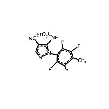 CCOC(=O)Nc1c(C#N)cnn1-c1c(F)c(F)c(C(F)(F)F)c(F)c1F